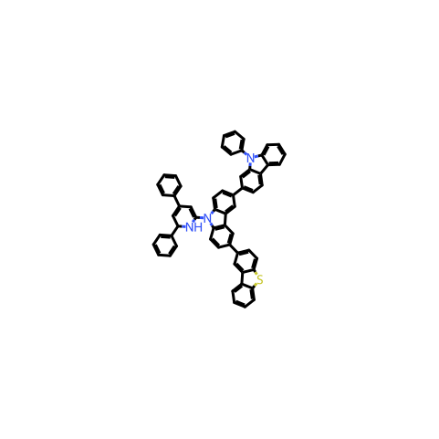 C1=C(c2ccccc2)C=C(n2c3ccc(-c4ccc5sc6ccccc6c5c4)cc3c3cc(-c4ccc5c6ccccc6n(-c6ccccc6)c5c4)ccc32)NC1c1ccccc1